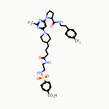 O=C(CCCC1CCN(c2cc(N3CCCC3C(=O)NCCc3ccc(C(F)(F)F)cc3)nc(C(F)(F)F)n2)CC1)NCCNS(=O)(=O)c1ccc(C(=O)O)cc1